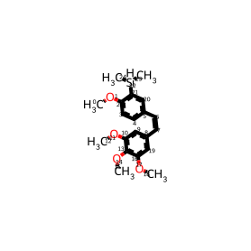 COc1ccc(/C=C\c2cc(OC)c(OC)c(OC)c2)cc1[SiH](C)C